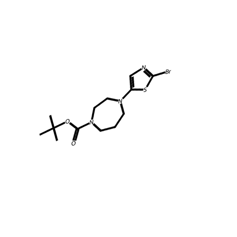 CC(C)(C)OC(=O)N1CCCN(c2cnc(Br)s2)CC1